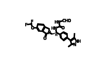 Cc1n[nH]c(C)c1-c1ccc([C@H](CN2Cc3ccc(OC(F)F)cc3C2=O)NC(=O)NC=O)cc1